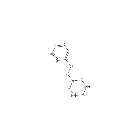 c1ccc(CCN2CNCNC2)cc1